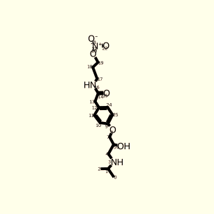 CC(C)NCC(O)COc1ccc(CC(=O)NCCCO[N+](=O)[O-])cc1